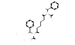 NC(=O)N(C(=O)CCCCC(=O)N(C(N)=O)C(C(=O)O)c1ccccc1)C(C(=O)O)c1ccccc1